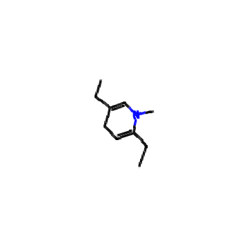 CCC1=CN(C)C(CC)=CC1